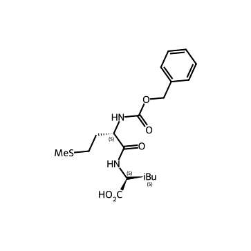 CC[C@H](C)[C@H](NC(=O)[C@H](CCSC)NC(=O)OCc1ccccc1)C(=O)O